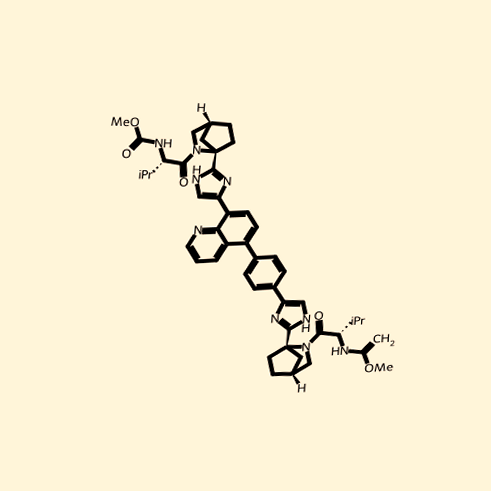 C=C(N[C@H](C(=O)N1C[C@@H]2CC[C@@]1(c1nc(-c3ccc(-c4ccc(-c5c[nH]c([C@@]67CC[C@@H](CN6C(=O)[C@@H](NC(=O)OC)C(C)C)C7)n5)c5ncccc45)cc3)c[nH]1)C2)C(C)C)OC